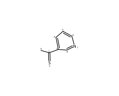 CC(=S)c1cccnc1